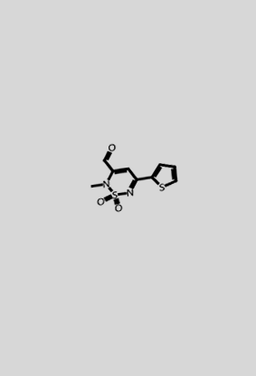 CN1C(C=O)=CC(c2cccs2)=NS1(=O)=O